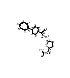 CC(=O)OC1CC[C@@H](COC(=O)c2ccc(-c3ccccc3)cc2)S1